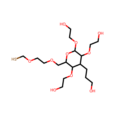 OCCCC1C(OCCO)C(COCCOCS)OC(OCCO)C1OCCO